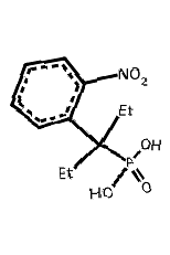 CCC(CC)(c1ccccc1[N+](=O)[O-])P(=O)(O)O